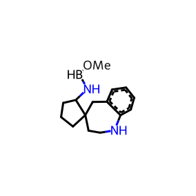 COBNC1CCCC12CCNc1ccccc1C2